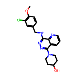 COc1ccc(CNc2nnc(N3CCC(O)CC3)c3cccnc23)cc1Cl